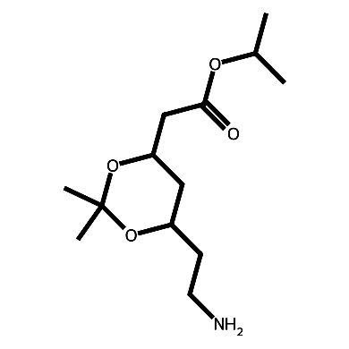 CC(C)OC(=O)CC1CC(CCN)OC(C)(C)O1